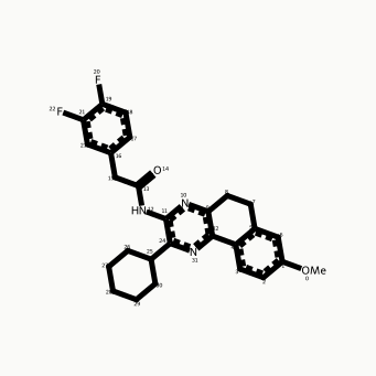 COc1ccc2c(c1)CCc1nc(NC(=O)Cc3ccc(F)c(F)c3)c(C3CCCCC3)nc1-2